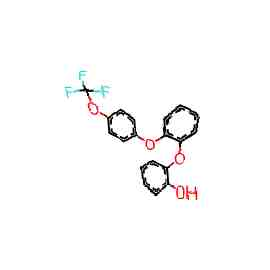 Oc1ccccc1Oc1ccccc1Oc1ccc(OC(F)(F)F)cc1